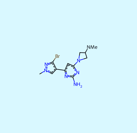 CNC1CN(c2cc(-c3cn(C)nc3Br)nc(N)n2)C1